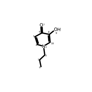 CCCn1ccc(=O)c(O)c1